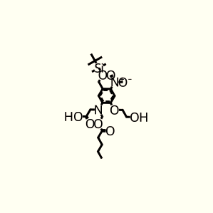 CCCCC(=O)OCN(CC(=O)O)c1cc(CO[Si](C)(C)C(C)(C)C)c([N+](=O)[O-])cc1OCCO